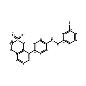 O=S1(=O)Cc2c(cccc2-c2ccc(OCc3cccc(F)c3)cc2)CN1